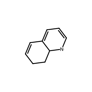 C1=C[N]C2CCC=CC2=C1